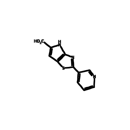 O=C(O)c1cc2sc(-c3cccnc3)nc2[nH]1